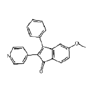 COc1ccc2c(c1)C(c1ccccc1)=C(c1ccncc1)C2=O